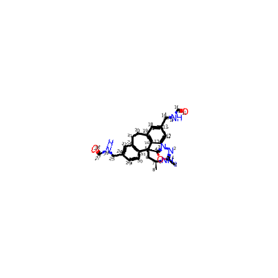 Cc1nnc(C2(C[C@H](C)N)c3ccc(CNC=O)cc3CCc3cc(CNC=O)ccc32)o1